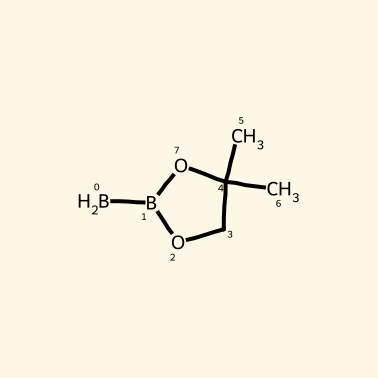 BB1OCC(C)(C)O1